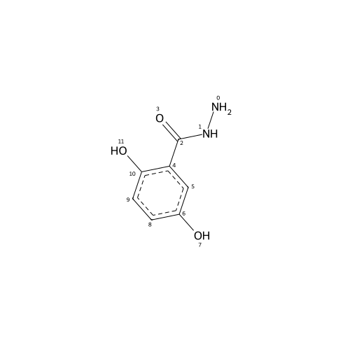 NNC(=O)c1cc(O)ccc1O